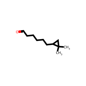 CC1(C)CC1CCCCCC=O